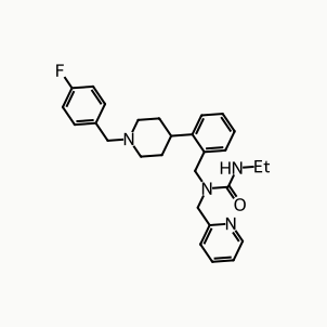 CCNC(=O)N(Cc1ccccn1)Cc1ccccc1C1CCN(Cc2ccc(F)cc2)CC1